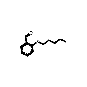 CCCCCSc1ccccc1C=O